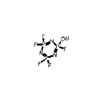 OP1(F)=NP(F)(F)=NP(F)(F)=N1